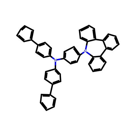 c1ccc(-c2ccc(N(c3ccc(-c4ccccc4)cc3)c3ccc(N4c5ccccc5-c5ccccc5-c5ccccc54)cc3)cc2)cc1